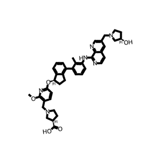 COc1nc(O[C@@H]2CCc3c(-c4cccc(Nc5nccc6cc(CN7CC[C@@H](O)C7)cnc56)c4C)cccc32)ccc1CN1CC[C@@H](C(=O)O)C1